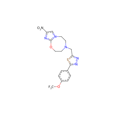 O=[N+]([O-])c1cn2c(n1)OCCN(Cc1nnc(-c3ccc(OC(F)(F)F)cc3)s1)CC2